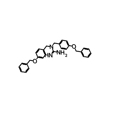 N=C(N)N(Cc1ccc(OCc2ccccc2)cc1)Cc1ccc(OCc2ccccc2)cc1